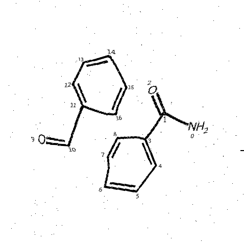 NC(=O)c1ccccc1.O=Cc1ccccc1